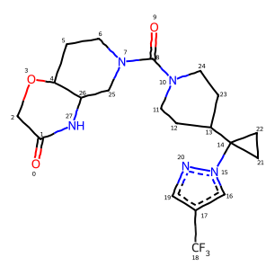 O=C1COC2CCN(C(=O)N3CCC(C4(n5cc(C(F)(F)F)cn5)CC4)CC3)CC2N1